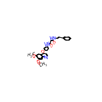 COc1cc2nccc(Oc3ccc(NC(=O)CC(=O)NCCc4ccccc4)cc3)c2cc1OC